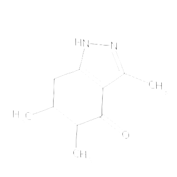 Cc1n[nH]c2c1C(=O)C(C)C(C)C2